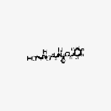 O=C(NCCONCCO)OCc1ccccc1